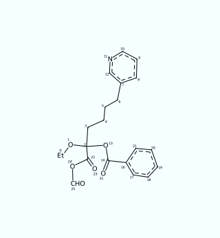 CCOC(CCCCc1cccnc1)(OC(=O)c1ccccc1)C(=O)OC=O